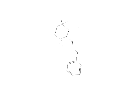 CO[C@@H]1[C@@H](COCc2ccccc2)[C@H](O)CCC1(C)C